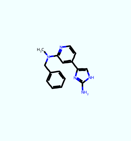 CN(Cc1ccccc1)c1cc(-c2c[nH]c(N)n2)ccn1